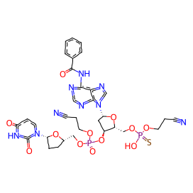 N#CCCOP(=O)(OC[C@@H]1CC[C@H](n2ccc(=O)[nH]c2=O)O1)O[C@H]1C[C@H](n2cnc3c(NC(=O)c4ccccc4)ncnc32)O[C@@H]1COP(O)(=S)OCCC#N